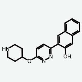 Oc1cc2ccccc2cc1-c1ccc(OC2CCNCC2)nn1